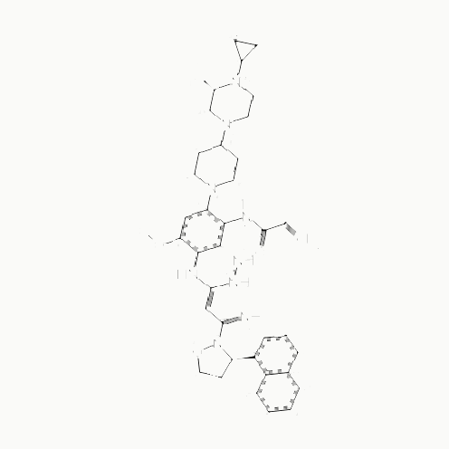 C=CC(=O)Nc1cc(N/C(=C/C(=N)N2OCC[C@@H]2c2cccc3ccccc23)NN)c(OC)cc1N1CCC(N2CCN(C3CC3)[C@H](C)C2)CC1